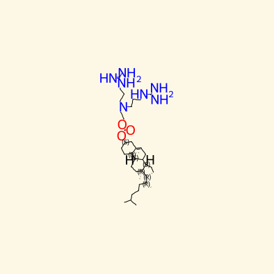 CC(C)CCC[C@@H](C)[C@H]1CC[C@H]2C3CC=C4C[C@@H](OC(=O)OCCN(CCCNC(=N)N)CCCNC(=N)N)CC[C@]4(C)[C@H]3CC[C@]12C